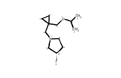 CC(C)OCC1(CN2CC[C@H](F)C2)CC1